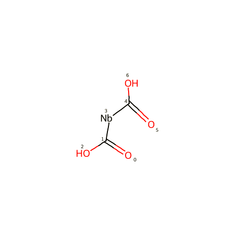 O=[C](O)[Nb][C](=O)O